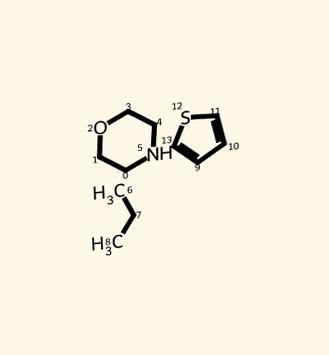 C1COCCN1.CCC.c1ccsc1